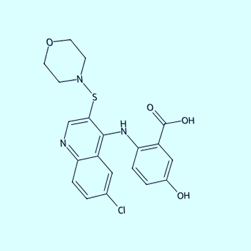 O=C(O)c1cc(O)ccc1Nc1c(SN2CCOCC2)cnc2ccc(Cl)cc12